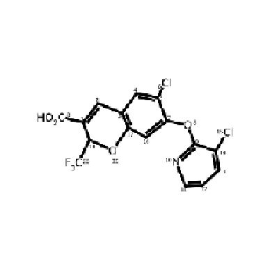 O=C(O)C1=Cc2cc(Cl)c(Oc3ncccc3Cl)cc2OC1C(F)(F)F